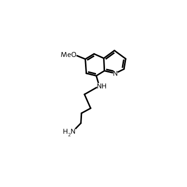 COc1cc(NCCCCN)c2ncccc2c1